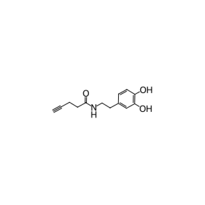 C#CCCC(=O)NCCc1ccc(O)c(O)c1